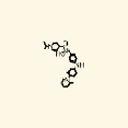 CC(C)N1CCC(C(=O)N(O)Cc2ccc(Nc3ccc(N4CCCCC4C)cc3)cc2)CC1